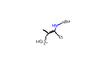 CCCCN/C(CC)=C(\C)C(=O)O